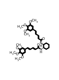 COc1cc(/C=C/C=C/C(=O)N[C@H]2CCCC[C@@H]2NC(=O)/C=C/C=C/c2cc(OC)c(OC)c(OC)c2)cc(OC)c1OC